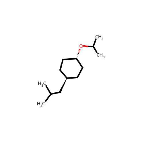 CC(C)C[C@H]1CC[C@H](OC(C)C)CC1